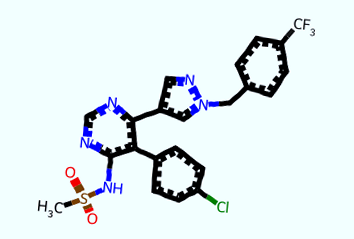 CS(=O)(=O)Nc1ncnc(-c2cnn(Cc3ccc(C(F)(F)F)cc3)c2)c1-c1ccc(Cl)cc1